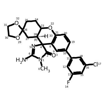 CN1C(=O)C2(N=C1N)c1cc(-c3cc(F)cc(Cl)c3)ccc1OC1CCC3(C[C@@H]12)OCCO3